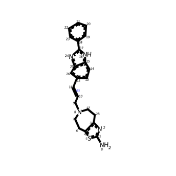 Nc1nc2c(s1)CCN(C/C=C/c1ccc3[nH]c(-c4ccccc4)nc3c1)CC2